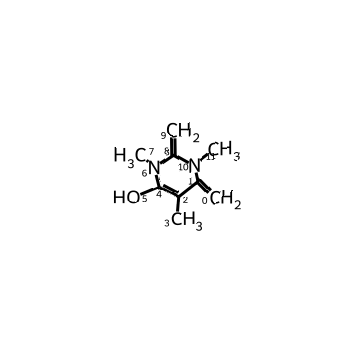 C=C1C(C)=C(O)N(C)C(=C)N1C